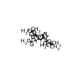 CC(=O)OC[C@H](Cc1cncn1C(=O)OC(C)(C)C)NC(=O)OC(C)(C)C